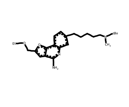 CCOCc1cc2c(N)nc3cc(CCCCCN(C)C(C)(C)C)ccc3c2o1